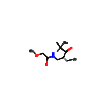 CC(C)C[C@H](CNC(=O)COC(C)(C)C)C(=O)C(C)(C)C(C)(C)C